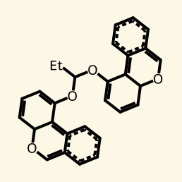 CCC(OC1=CC=CC2OC=c3ccccc3=C12)OC1=CC=CC2OC=c3ccccc3=C12